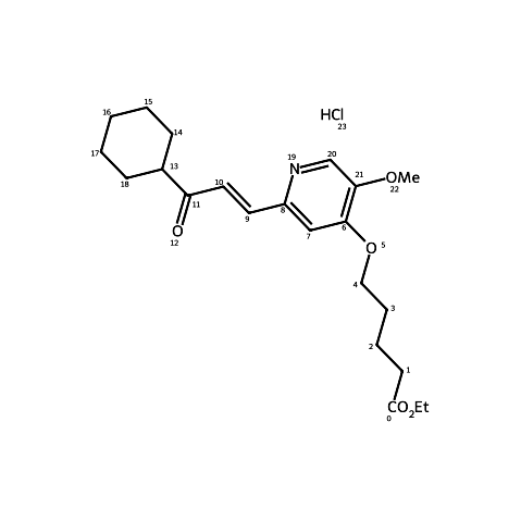 CCOC(=O)CCCCOc1cc(/C=C/C(=O)C2CCCCC2)ncc1OC.Cl